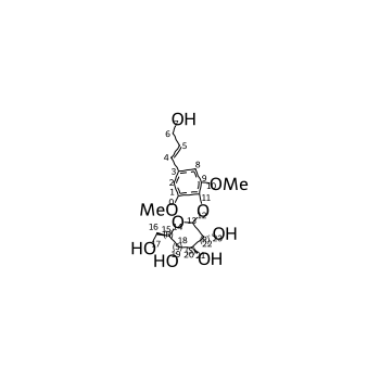 COc1cc(C=CCO)cc(OC)c1OC1O[C@H](CO)[C@@H](O)[C@H](O)[C@H]1O